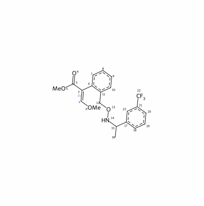 CO/C=C(/C(=O)OC)c1ccccc1CONC(C)c1cccc(C(F)(F)F)c1